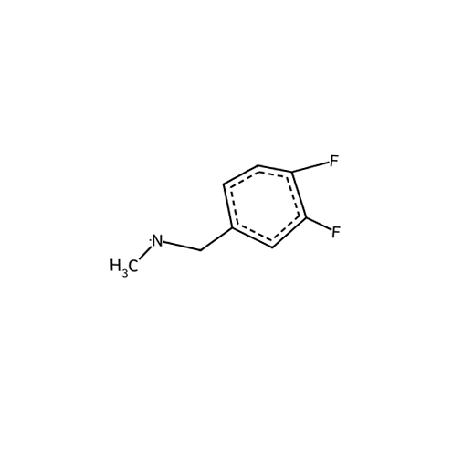 C[N]Cc1ccc(F)c(F)c1